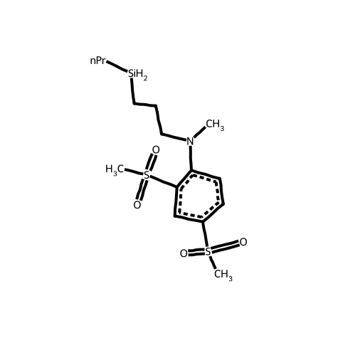 CCC[SiH2]CCCN(C)c1ccc(S(C)(=O)=O)cc1S(C)(=O)=O